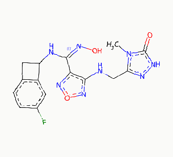 Cn1c(CNc2nonc2/C(=N\O)NC2Cc3ccc(F)cc32)n[nH]c1=O